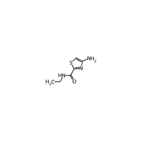 CCNC(=O)c1nc(N)cs1